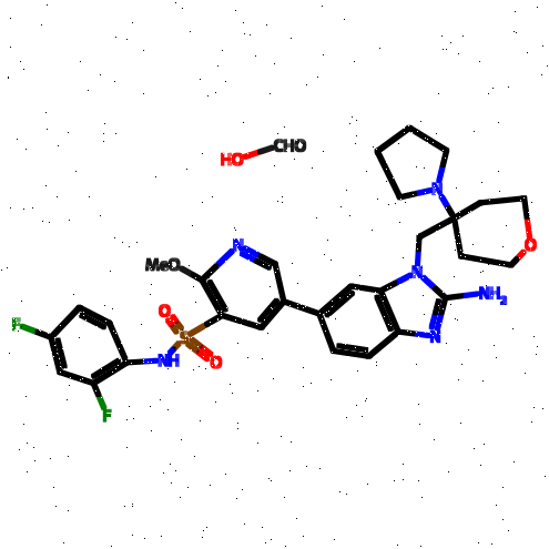 COc1ncc(-c2ccc3nc(N)n(CC4(N5CCCC5)CCOCC4)c3c2)cc1S(=O)(=O)Nc1ccc(F)cc1F.O=CO